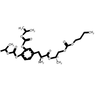 CCCCOC(=O)OC[C@H](C)OC(=O)[C@@H](N)Cc1ccc(OC(=O)OC(C)C)c(OC(=O)OC(C)C)c1